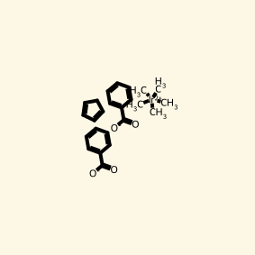 C1=CCC=C1.O=C([O-])c1ccccc1.O=C([O-])c1ccccc1.[CH3][Ir+2]([CH3])([CH3])([CH3])[CH3]